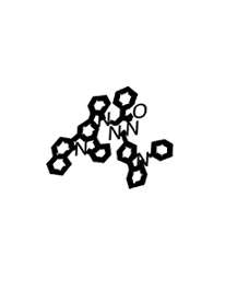 c1ccc(-n2c3ccccc3c3ccc(-c4nc(-n5c6ccccc6c6cc7c8ccc9ccccc9c8n8c9ccccc9c(c65)c78)c5c(n4)oc4ccccc45)cc32)cc1